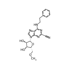 COC[C@H]1O[C@@H](n2cnc3c(NCCc4ccccc4)nc(C#N)nc32)[C@H](O)[C@@H]1O